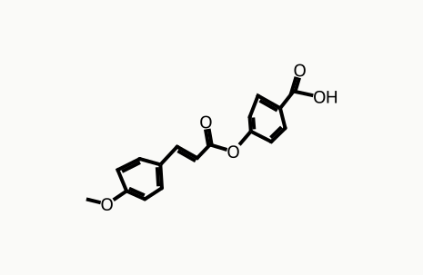 COc1ccc(/C=C/C(=O)Oc2ccc(C(=O)O)cc2)cc1